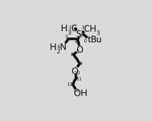 CC(C)(C)[Si](C)(C)C(CN)OCCOCCO